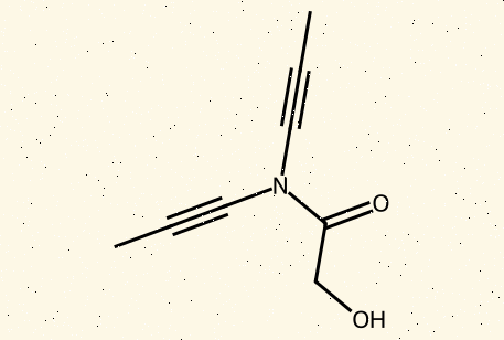 CC#CN(C#CC)C(=O)CO